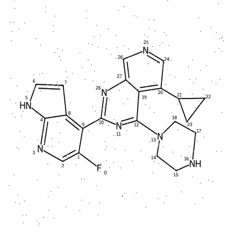 Fc1cnc2[nH]ccc2c1-c1nc(N2CCNCC2)c2c(C3CC3)cncc2n1